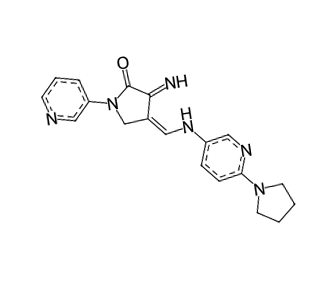 N=C1C(=O)N(c2cccnc2)C/C1=C/Nc1ccc(N2CCCC2)nc1